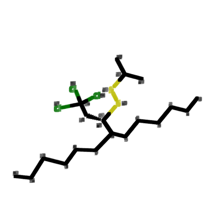 CCCCCCC(CCCCCC)[C@H](CC(Cl)(Cl)Cl)SSC(C)C